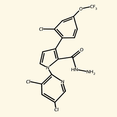 NNC(=O)c1c(-c2ccc(OC(F)(F)F)cc2Cl)ccn1-c1ncc(Cl)cc1Cl